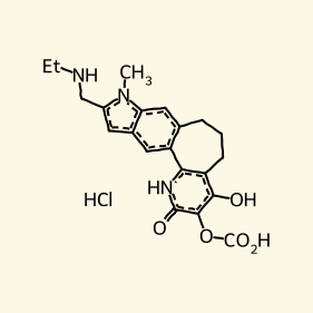 CCNCc1cc2cc3c(cc2n1C)CCCc1c-3[nH]c(=O)c(OC(=O)O)c1O.Cl